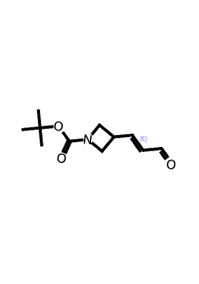 CC(C)(C)OC(=O)N1CC(/C=C/C=O)C1